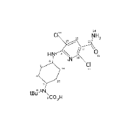 CC(C)(C)N(C(=O)O)C1CCC(Nc2nc(Cl)c(C(N)=O)cc2Cl)CC1